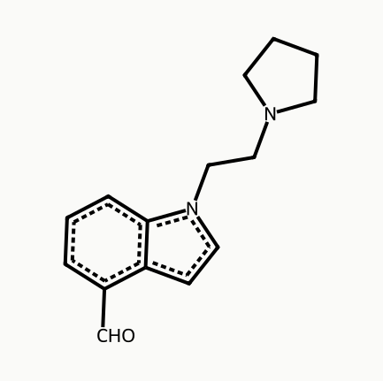 O=Cc1cccc2c1ccn2CCN1CCCC1